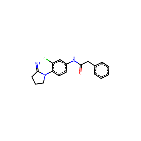 N=C1CCCN1c1ccc(NC(=O)Cc2ccccc2)cc1Cl